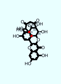 O=C1CC(=O)[C@]2(O)[C@H](O)[C@H](OC(Oc3c(-c4ccc(O)c(O)c4)oc4cc(O)cc(O)c4c3=O)[C@@H]2O)C1O